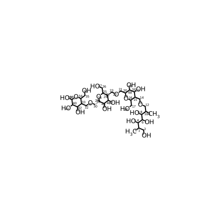 CC(CO)C(O)C(O)C(O)C(C)COCC1C(CO)OC(COC[C@@H]2C(CO)O[C@@H](COCC3C(CO)OC(O)C(O)C3O)C(O)C2O)C(O)C1O